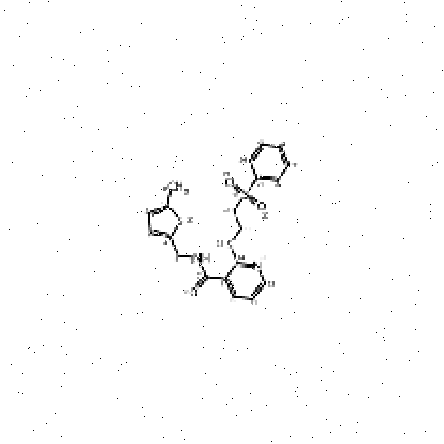 Cc1ccc(CNC(=O)c2cccnc2SCCS(=O)(=O)c2ccccc2)s1